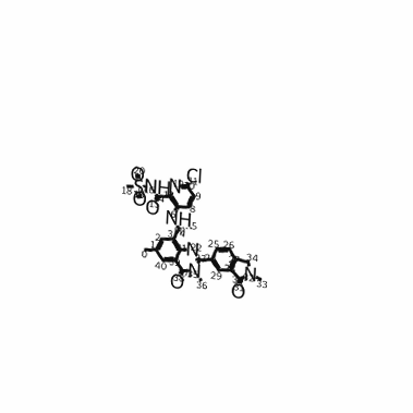 Cc1cc([C@@H](C)Nc2ccc(Cl)nc2C(=O)NS(C)(=O)=O)c2nc(-c3ccc4c(c3)C(=O)N(C)C4)n(C)c(=O)c2c1